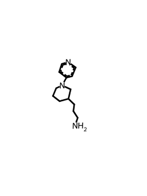 NCCCC1CCCN(c2ccncc2)C1